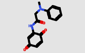 CN(CC(=O)NC1=CC(=O)C=CC1=O)c1ccccc1